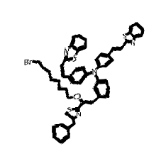 BrCCCCCCCCOC(=Cc1cccc(N(c2ccc(C=Cc3nc4ccccc4s3)cc2)c2ccc(C=Cc3nc4ccccc4s3)cc2)c1)c1nc(Cc2ccccc2)cs1